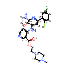 CN1CCN(CCOC(=O)c2cnccc2Nc2cc(-c3cc(Cl)ccc3F)nc3c2OCCN3)CC1